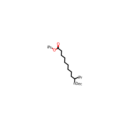 CCCCCCCCCCC(CCCCCCCCC(=O)OC(C)C)C(C)C